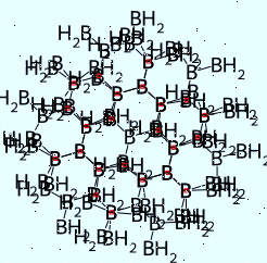 BB(B)B(B)B(B(B)B)B(B(B(B)B)B(B)B)B(B(B(B(B)B)B(B)B)B(B(B)B)B(B)B)B(B(B(B(B(B)B)B(B)B)B(B(B)B)B(B)B)B(B(B(B)B)B(B)B)B(B(B)B)B(B)B)B(B(B(B(B)B)B(B)B)B(B(B)B)B(B)B)B(B(B(B)B)B(B)B)B(B(B)B)B(B)B